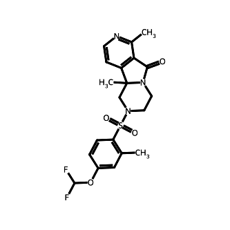 Cc1cc(OC(F)F)ccc1S(=O)(=O)N1CCN2C(=O)c3c(ccnc3C)C2(C)C1